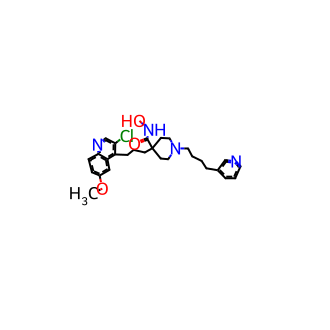 COc1ccc2ncc(Cl)c(CCCC3(C(=O)NO)CCN(CCCCc4cccnc4)CC3)c2c1